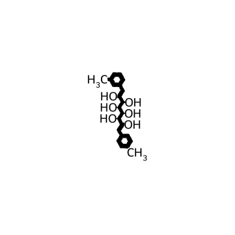 Cc1ccc(C=C(O)[C@H](O)[C@@H](O)[C@H](O)[C@H](O)C(O)=Cc2cccc(C)c2)cc1